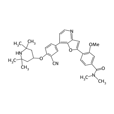 COc1cc(C(=O)N(C)C)ccc1-c1cc2nccc(-c3ccc(OC4CC(C)(C)NC(C)(C)C4)c(C#N)c3)c2o1